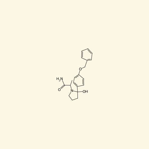 CC(C(N)=O)N1CCCC1(O)c1ccc(OCc2ccccc2)cc1